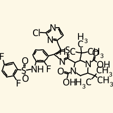 CC(C)(C)C1CN(C(=O)O)C(c2nc(-c3cccc(NS(=O)(=O)c4cc(F)ccc4F)c3F)c(-c3ccnc(Cl)n3)s2)C(C(C)(C)C)N1C(=O)O